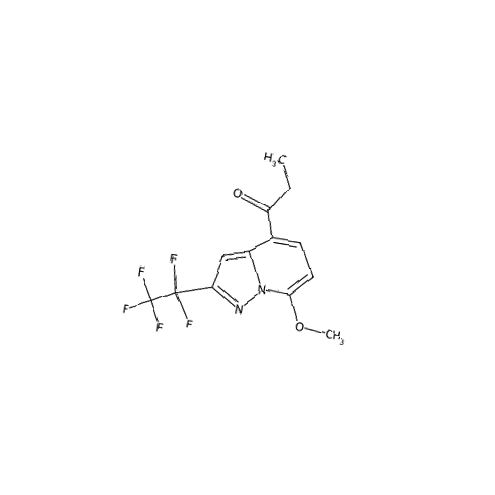 CCC(=O)c1ccc(OC)n2nc(C(F)(F)C(F)(F)F)cc12